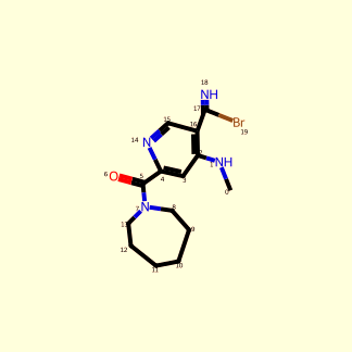 CNc1cc(C(=O)N2CCCCCC2)ncc1C(=N)Br